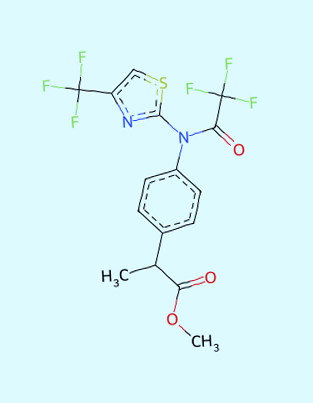 COC(=O)C(C)c1ccc(N(C(=O)C(F)(F)F)c2nc(C(F)(F)F)cs2)cc1